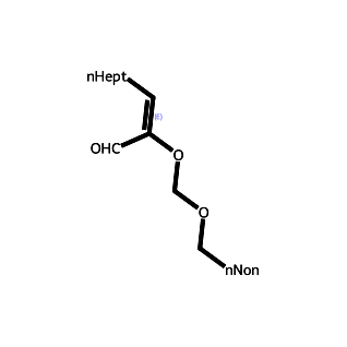 CCCCCCC/C=C(\C=O)OCOCCCCCCCCCC